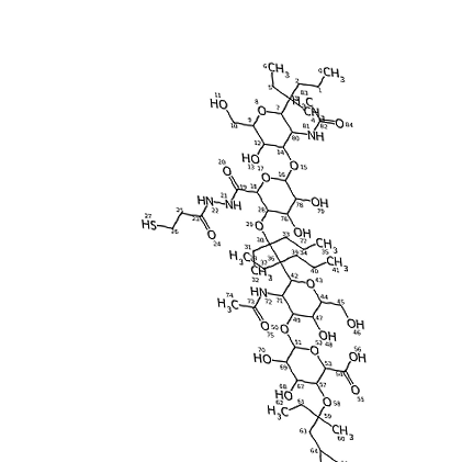 CCCC(C)(CC)C1OC(CO)C(O)C(OC2OC(C(=O)NNC(=O)CCS)C(OC(CC)(CCC)C(CC)(CCC)C3OC(CO)C(O)C(OC4OC(C(=O)O)C(OC(C)(CC)CC5CC5)C(O)C4O)C3NC(C)=O)C(O)C2O)C1NC(C)=O